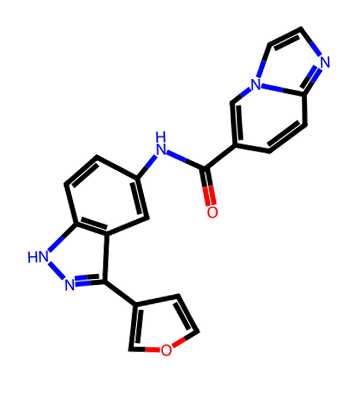 O=C(Nc1ccc2[nH]nc(-c3ccoc3)c2c1)c1ccc2nccn2c1